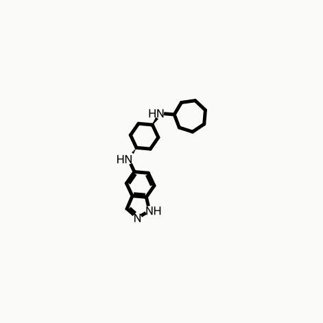 c1cc2[nH]ncc2cc1N[C@H]1CC[C@H](NC2CCCCCC2)CC1